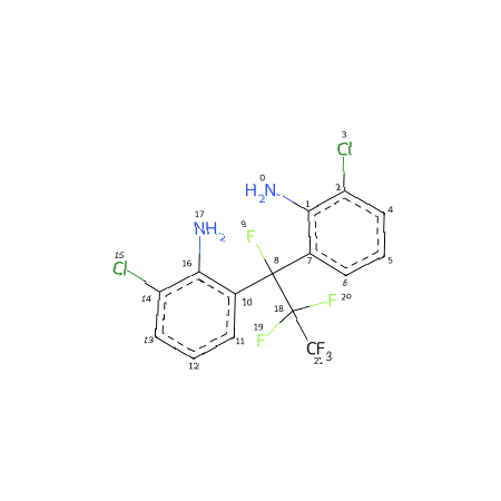 Nc1c(Cl)cccc1C(F)(c1cccc(Cl)c1N)C(F)(F)C(F)(F)F